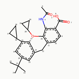 CC(=O)Nc1c(C(=O)O)ccc(Cc2cc(C3CC3)cc(C(C)(C)C)c2)c1OC1CC1